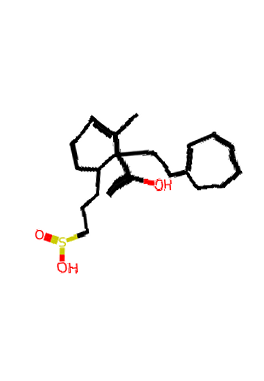 C=C(O)C1(CCC2=CCCCCC2)C(C)=CCCC1CCCS(=O)O